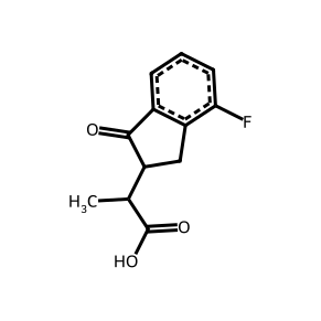 CC(C(=O)O)C1Cc2c(F)cccc2C1=O